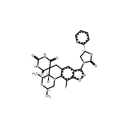 C[C@@H]1CN2c3c(cc4c(N5C[C@H](c6ccccn6)OC5=O)noc4c3F)CC3(C(=O)NC(=O)NC3=O)[C@H]2[C@H](C)O1